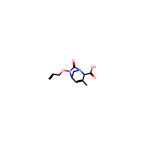 C=CCON1C(=O)N2CC1C=C(C)C2C(=O)O